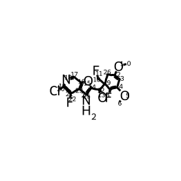 COC1=CC(OC)=C(F)C(CF)(C(=O)c2oc3cnc(Cl)c(F)c3c2N)C1